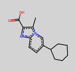 Cc1c(C(=O)O)nc2ccc(C3CCCCC3)cn12